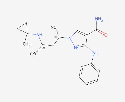 CCC[C@@H](C[C@H](C#N)n1cc(C(N)=O)c(Nc2ccccc2)n1)NC1(C)CC1